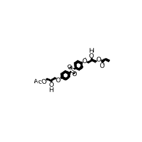 C=CC(=O)OCC(O)COc1ccc(S(=O)(=O)c2ccc(OCC(O)COC(C)=O)cc2)cc1